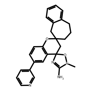 CN1OC2(CC3(CCCc4ccccc4C3)Oc3ccc(-c4cccnc4)cc32)N=C1N